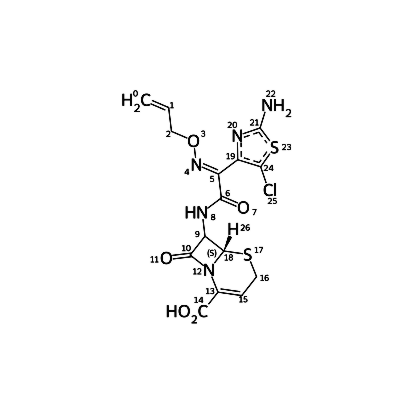 C=CCON=C(C(=O)NC1C(=O)N2C(C(=O)O)=CCS[C@@H]12)c1nc(N)sc1Cl